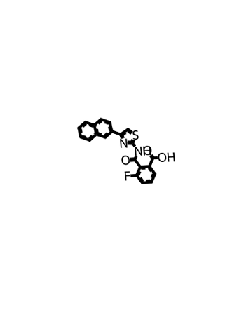 O=C(O)c1cccc(F)c1C(=O)Nc1nc(-c2ccc3ccccc3c2)cs1